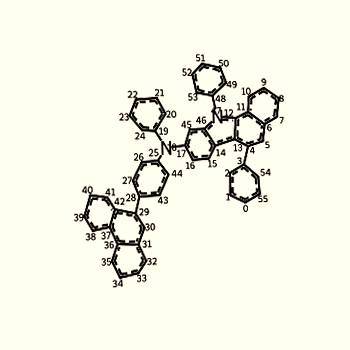 c1ccc(-c2cc3ccccc3c3c2c2ccc(N(c4ccccc4)c4ccc(-c5cc6ccccc6c6ccccc56)cc4)cc2n3-c2ccccc2)cc1